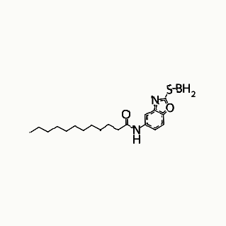 BSc1nc2cc(NC(=O)CCCCCCCCCCC)ccc2o1